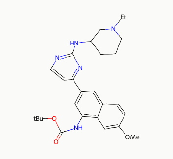 CCN1CCCC(Nc2nccc(-c3cc(NC(=O)OC(C)(C)C)c4cc(OC)ccc4c3)n2)C1